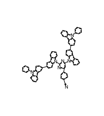 N#Cc1ccc(-c2cc(-n3c4ccccc4c4cc(-c5ccc6c(c5)c5ccccc5n6-c5ccccc5)ccc43)nc(-n3c4ccccc4c4cc(-c5ccc6c(c5)c5ccccc5n6-c5ccccc5)ccc43)n2)cc1